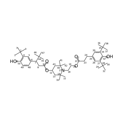 CC(C)(C)c1cc(C(CC(=O)OC2CC(C)(C)N(CCOC(=O)CCc3cc(C(C)(C)C)c(O)c(C(C)(C)C)c3)C(C)(C)C2)C(C)(C)C)ccc1O